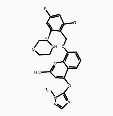 Cc1cc(Oc2ncnn2C)c2cccc(OCc3c(Cl)cc(F)cc3[C@@H]3COCCN3)c2n1